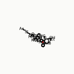 CC[C@]1(O)CC2CN(CCc3c([nH]c4ccccc34)[C@@](COC=O)(c3cc4c(cc3OC)N(C)[C@H]3[C@@](O)(C(=O)NNC(=O)OCCSSCCC(C)=O)[C@H](O)[C@]5(CC)C=CCN6CC[C@]43[C@@H]65)C2)C1